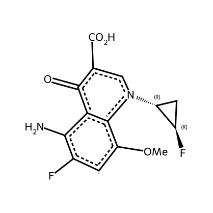 COc1[c]c(F)c(N)c2c(=O)c(C(=O)O)cn([C@@H]3C[C@H]3F)c12